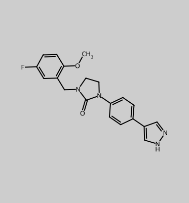 COc1ccc(F)cc1CN1CCN(c2ccc(-c3cn[nH]c3)cc2)C1=O